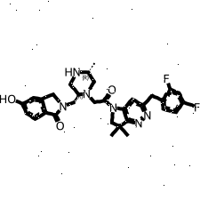 C[C@@H]1CN(CC(=O)N2CC(C)(C)c3nnc(Cc4ccc(F)cc4F)cc32)[C@@H](CN2Cc3cc(O)ccc3C2=O)CN1